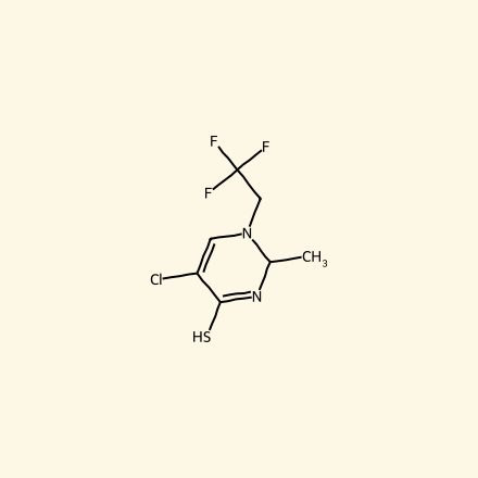 CC1N=C(S)C(Cl)=CN1CC(F)(F)F